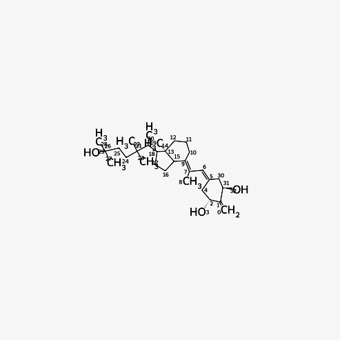 C=C1[C@H](O)CC(=C/C(C)=C2\CCC[C@@]3(C)C2CCC3C(C)C(C)(C)CCC(C)(C)O)C[C@H]1O